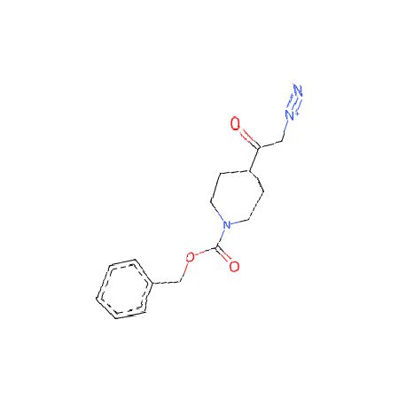 N#[N+]CC(=O)C1CCN(C(=O)OCc2ccccc2)CC1